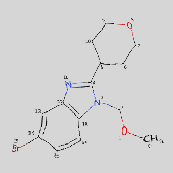 COCn1c(C2CCOCC2)nc2cc(Br)ccc21